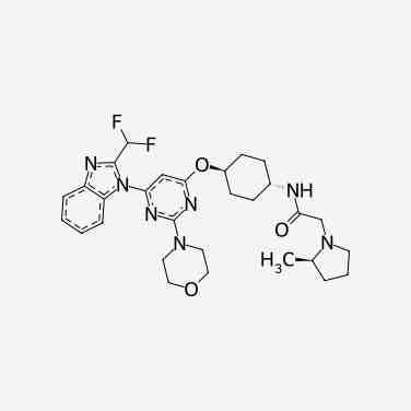 C[C@@H]1CCCN1CC(=O)N[C@H]1CC[C@H](Oc2cc(-n3c(C(F)F)nc4ccccc43)nc(N3CCOCC3)n2)CC1